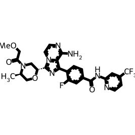 COCC(=O)N1C[C@H](c2nc(-c3ccc(C(=O)Nc4cc(C(F)(F)F)ccn4)cc3F)c3c(N)nccn23)OC[C@H]1C